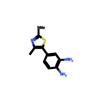 CNc1nc(C)c(-c2ccc(N)c(N)c2)s1